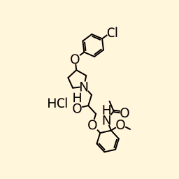 COC1(NC(C)=O)C=CC=CC1OCC(O)CN1CCC(Oc2ccc(Cl)cc2)C1.Cl